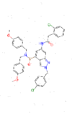 COc1ccc(CN(Cc2ccc(OC)cc2)[S+]([O-])c2cc(NC(=O)Cc3ccccc3Cl)cc3nn(Cc4ccc(Cl)cc4)cc23)cc1